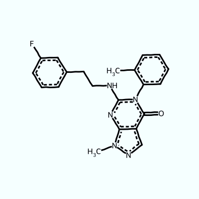 Cc1ccccc1-n1c(NCCc2cccc(F)c2)nc2c(cnn2C)c1=O